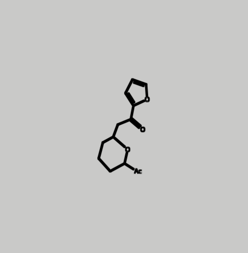 CC(=O)C1CCCC(CC(=O)c2ccco2)O1